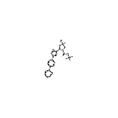 CC(C)(C)OC(=O)N1CC(F)(F)C[C@@H]1c1nc(-c2ccc(-c3ccccn3)cn2)no1